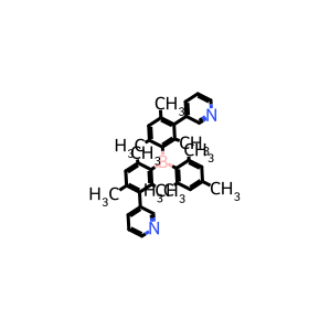 Cc1cc(C)c(B(c2c(C)cc(C)c(-c3cccnc3)c2C)c2c(C)cc(C)c(-c3cccnc3)c2C)c(C)c1